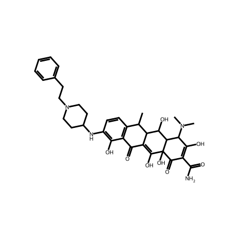 CC1c2ccc(NC3CCN(CCc4ccccc4)CC3)c(O)c2C(=O)C2=C(O)C3(O)C(=O)C(C(N)=O)=C(O)C(N(C)C)C3C(O)C21